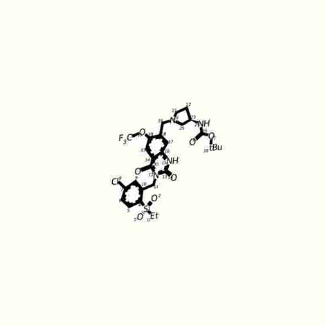 CCS(=O)(=O)c1ccc(Cl)cc1Cn1c(=O)[nH]c2cc(CN3CC[C@@H](NC(=O)OC(C)(C)C)C3)c(OC(F)(F)F)cc2c1=O